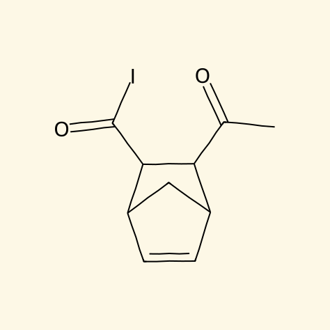 CC(=O)C1C2C=CC(C2)C1C(=O)I